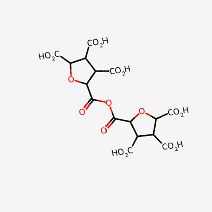 O=C(O)C1OC(C(=O)OC(=O)C2OC(C(=O)O)C(C(=O)O)C2C(=O)O)C(C(=O)O)C1C(=O)O